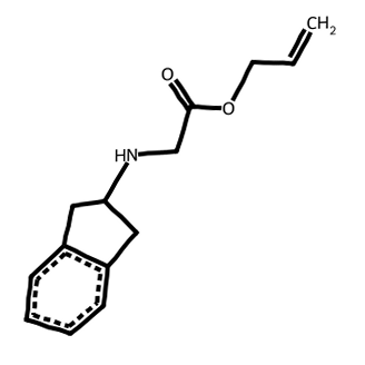 C=CCOC(=O)CNC1Cc2ccccc2C1